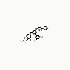 CN1CCN(c2ccc(Oc3cc(CN4CC[C@@H]5[C@H](CC4)[C@H]5C(=O)O)cc(-c4cc(Cl)cc(Cl)c4)n3)nn2)CC1